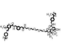 COc1cnc(C(=O)NCc2cccc(CC(=O)NCCOCCOCCOCCOCC(=O)N[C@H](C(=O)N3C[C@H](O)C[C@H]3C(=O)NCc3ccc(-c4scnc4C)cc3)C(C)(C)C)c2)cc1/C=C/[C@H]1CC[C@H](C(F)(F)F)CC1